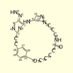 N=Nc1cnc2nc1Nc1cnn(c1)CCCNC(=O)CCCCOc1ccc(cc1)CC2